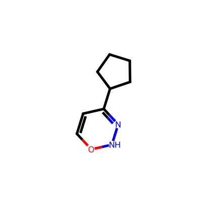 C1=CC(C2CCCC2)=NNO1